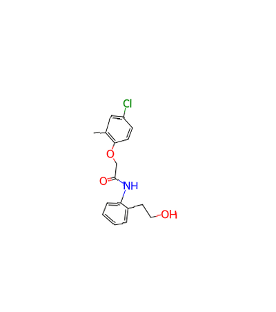 Cc1cc(Cl)ccc1OCC(=O)Nc1ccccc1CCO